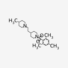 Cc1cc(C)c(S(=O)(=O)N2CCC(CCN3CCC(C)CC3)CC2)c(C)c1